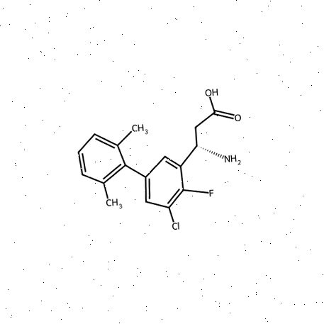 Cc1cccc(C)c1-c1cc(Cl)c(F)c([C@@H](N)CC(=O)O)c1